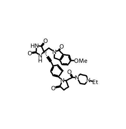 CCN1CCN(C(=O)C2CCC(=O)N2c2ccc(C#C[C@]3(CN4Cc5ccc(OC)cc5C4=O)NC(=O)NC3=O)cc2)CC1